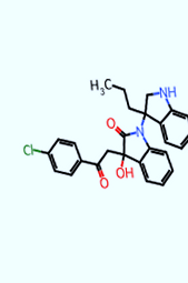 CCCC1(N2C(=O)C(O)(CC(=O)c3ccc(Cl)cc3)c3ccccc32)CNc2ccccc21